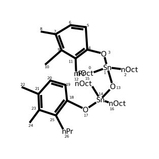 CCCCCCC[CH2][Sn]([CH2]CCCCCCC)([O]c1ccc(C)c(C)c1CCC)[O][Sn]([CH2]CCCCCCC)([CH2]CCCCCCC)[O]c1ccc(C)c(C)c1CCC